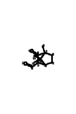 CC12CCC(C(C=O)C1=O)C2(C)C